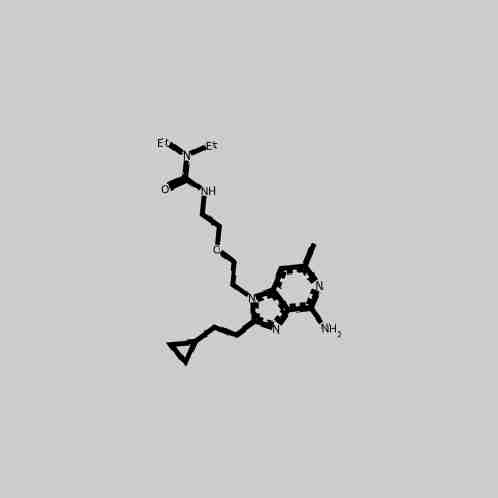 CCN(CC)C(=O)NCCOCCn1c(CCC2CC2)nc2c(N)nc(C)cc21